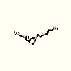 CC(C)(C)CCCOCCN1CCOC(CNCS)C1